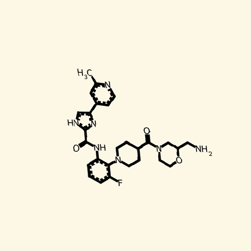 Cc1cc(-c2c[nH]c(C(=O)Nc3cccc(F)c3N3CCC(C(=O)N4CCOC(CN)C4)CC3)n2)ccn1